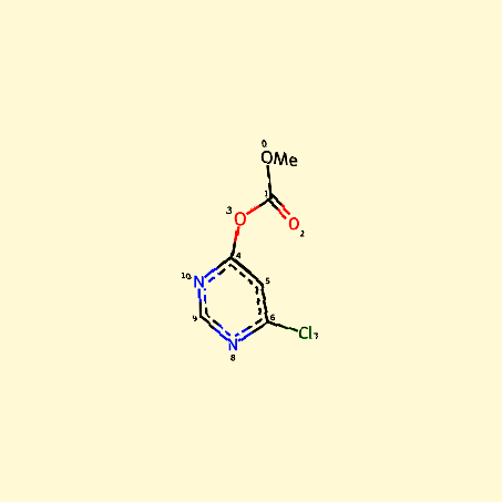 COC(=O)Oc1cc(Cl)ncn1